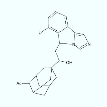 CC(=O)C1C2CC3CC1CC(C(O)CC1c4c(F)cccc4-c4cncn41)(C3)C2